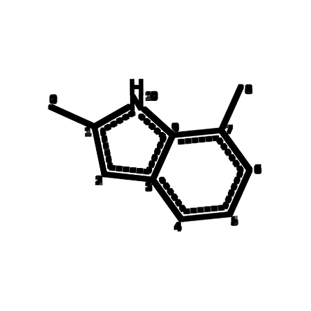 Cc1cc2cccc(C)c2[nH]1